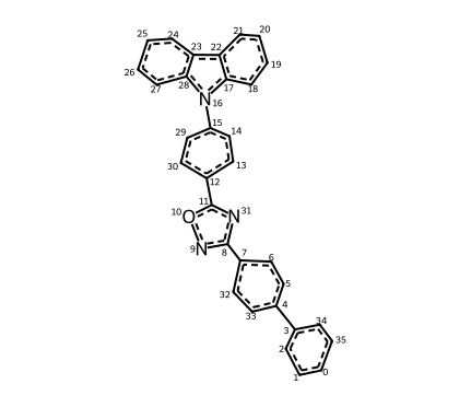 c1ccc(-c2ccc(-c3noc(-c4ccc(-n5c6ccccc6c6ccccc65)cc4)n3)cc2)cc1